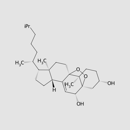 CC(C)CCC[C@@H](C)[C@H]1CC[C@H]2C3=C[C@@H](O)[C@@]45C[C@@H](O)CC[C@]4(C)[C@]3(CC[C@]12C)OO5